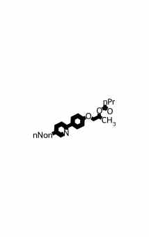 CCCCCCCCCc1ccc(-c2ccc(OCC(C)OC(=O)CCC)cc2)nc1